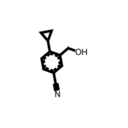 N#Cc1ccc(C2CC2)c([CH]O)c1